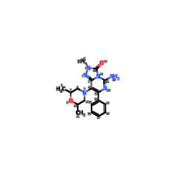 CCCn1nc2c(N3CC(C)OC(C)C3)c(-c3ccccc3)nc(N)n2c1=O